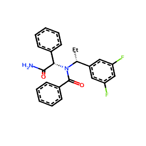 CC[C@H](c1cc(F)cc(F)c1)N(C(=O)c1ccccc1)[C@H](C(N)=O)c1ccccc1